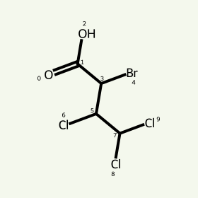 O=C(O)C(Br)C(Cl)C(Cl)Cl